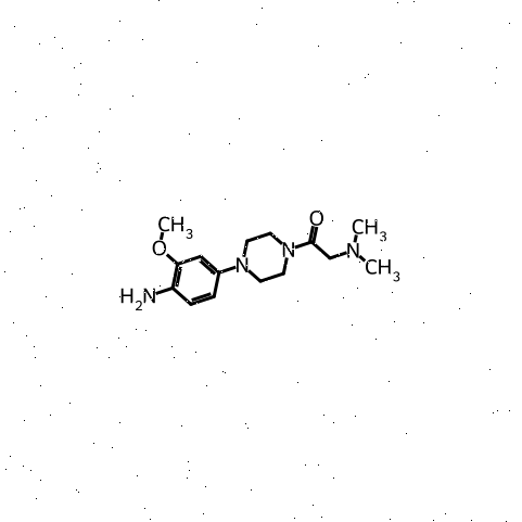 COc1cc(N2CCN(C(=O)CN(C)C)CC2)ccc1N